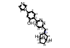 Oc1cc(-n2ccnc2)ccc1-c1ncc(/C=C2/C[C@H]3CC[C@@H](C2)N3)nn1